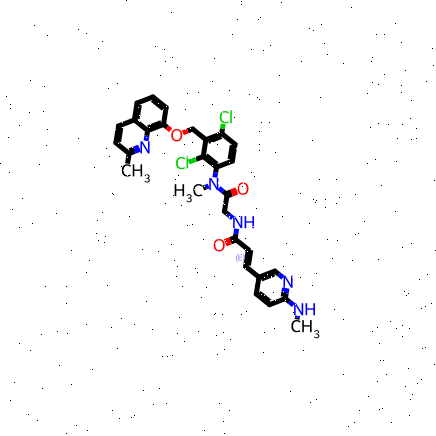 CNc1ccc(/C=C/C(=O)NCC(=O)N(C)c2ccc(Cl)c(COc3cccc4ccc(C)nc34)c2Cl)cn1